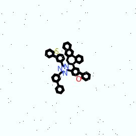 c1ccc(-c2cccc(-c3nc(-c4ccc5sc6ccccc6c5c4)nc(-c4cc5oc6ccccc6c5cc4C4CCc5cc6ccccc6cc5-c5ccccc54)n3)c2)cc1